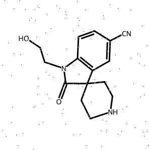 N#Cc1ccc2c(c1)C1(CCNCC1)C(=O)N2CCO